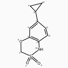 O=S1(=O)COc2cc(C3CC3)ccc2N1